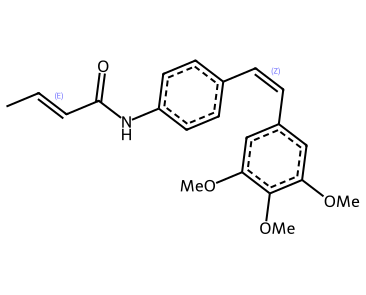 C/C=C/C(=O)Nc1ccc(/C=C\c2cc(OC)c(OC)c(OC)c2)cc1